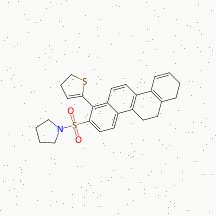 O=S(=O)(c1ccc2c3c(ccc2c1C1=CCCS1)C1=C(CCC=C1)CC3)N1CCCC1